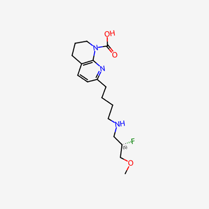 COC[C@@H](F)CNCCCCc1ccc2c(n1)N(C(=O)O)CCC2